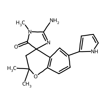 CN1C(=O)C2(CC(C)(C)Oc3ccc(-c4ccc[nH]4)cc32)N=C1N